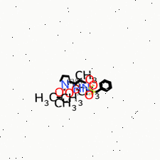 CO[C@H]([C@@H](C)C(=O)NS(=O)(=O)Cc1ccccc1)[C@@H]1CCCN1C(=O)OC(C)(C)C